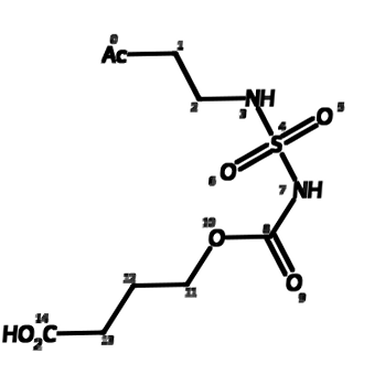 CC(=O)CCNS(=O)(=O)NC(=O)OCCCC(=O)O